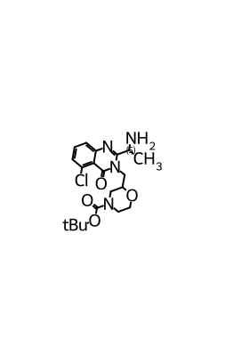 C[C@H](N)c1nc2cccc(Cl)c2c(=O)n1CC1CN(C(=O)OC(C)(C)C)CCO1